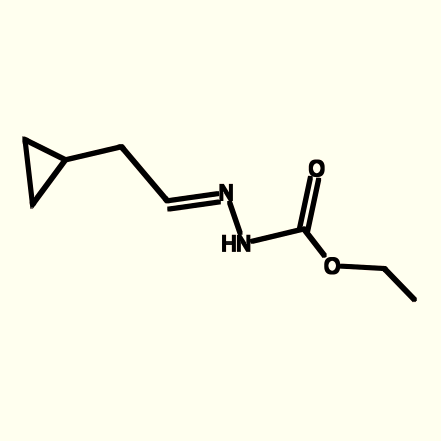 CCOC(=O)NN=CCC1CC1